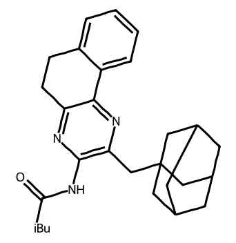 CCC(C)C(=O)Nc1nc2c(nc1CC13CC4CC(CC(C4)C1)C3)-c1ccccc1CC2